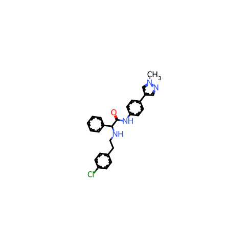 Cn1cc(-c2ccc(NC(=O)C(NCCc3ccc(Cl)cc3)c3ccccc3)cc2)cn1